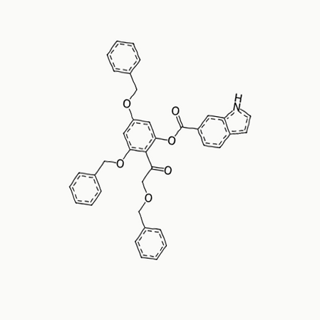 O=C(Oc1cc(OCc2ccccc2)cc(OCc2ccccc2)c1C(=O)COCc1ccccc1)c1ccc2cc[nH]c2c1